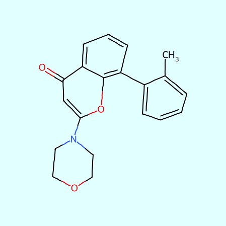 Cc1ccccc1-c1cccc2c(=O)cc(N3CCOCC3)oc12